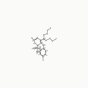 CCCCN(CCCC)C1=C(Oc2ccc(C)cc2)C(S(N)(=O)=O)CC(C)=C1